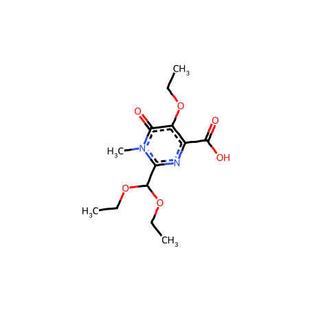 CCOc1c(C(=O)O)nc(C(OCC)OCC)n(C)c1=O